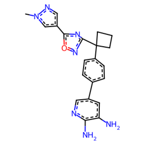 Cn1cc(-c2nc(C3(c4ccc(-c5cnc(N)c(N)c5)cc4)CCC3)no2)cn1